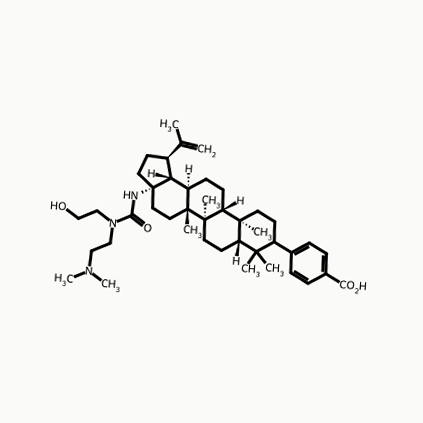 C=C(C)[C@@H]1CC[C@]2(NC(=O)N(CCO)CCN(C)C)CC[C@]3(C)[C@H](CC[C@@H]4[C@@]5(C)CCC(c6ccc(C(=O)O)cc6)C(C)(C)[C@@H]5CC[C@]43C)[C@@H]12